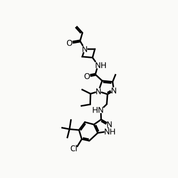 C=CC(=O)N1CC(NC(=O)c2c(C)nc(CNc3n[nH]c4cc(Cl)c(C(C)(C)C)cc34)n2C(C)CC)C1